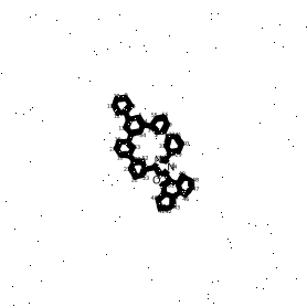 c1ccc(-c2cc(-c3ccccc3)cc(-c3cccc(-c4cccc(-c5nc(-c6ccccc6)nc6c5oc5c7ccccc7c7ccccc7c65)c4)c3)c2)cc1